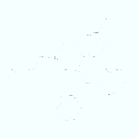 COCCN1CN(C(c2ccccc2)c2ccccn2)n2ccc(=O)c(O)c2C1=O